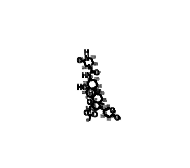 CC(=O)O[C@H]1[C@H]2O[C@]23[C@@H]2CC[C@]4(O)C[C@@H](NC(=O)N5CCNC(=O)C5)CC[C@]4(C)[C@H]2CC[C@]3(C)[C@H]1c1ccc(=O)oc1